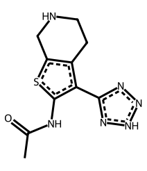 CC(=O)Nc1sc2c(c1-c1nn[nH]n1)CCNC2